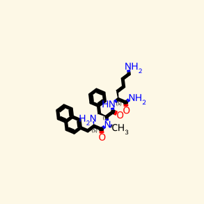 CN(C(=O)[C@@H](N)Cc1ccc2ccccc2c1)[C@@H](Cc1ccccc1)C(=O)N[C@@H](CCCCN)C(N)=O